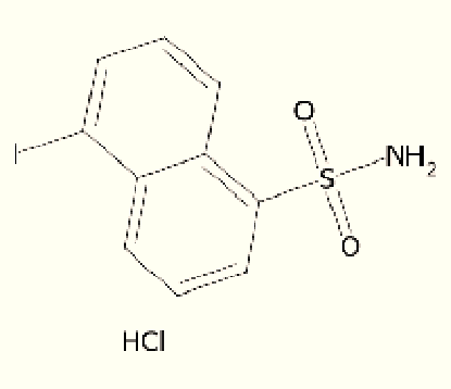 Cl.NS(=O)(=O)c1cccc2c(I)cccc12